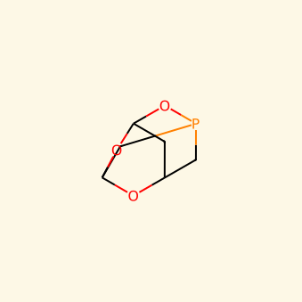 C1C2CP3CC(O2)OC1O3